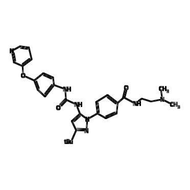 CN(C)CCNC(=O)c1ccc(-n2nc(C(C)(C)C)cc2NC(=O)Nc2ccc(Oc3cccnc3)cc2)cc1